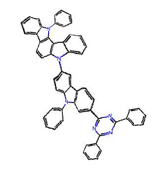 c1ccc(-c2nc(-c3ccccc3)nc(-c3ccc4c5cc(-n6c7ccccc7c7c6ccc6c8ccccc8n(-c8ccccc8)c67)ccc5n(-c5ccccc5)c4c3)n2)cc1